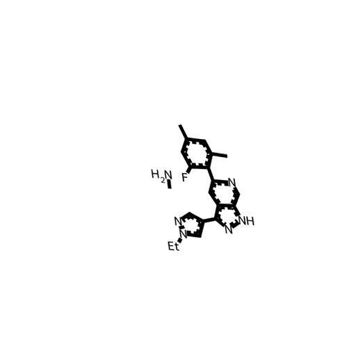 CCn1cc(-c2n[nH]c3cnc(-c4c(C)cc(C)cc4F)cc23)cn1.CN